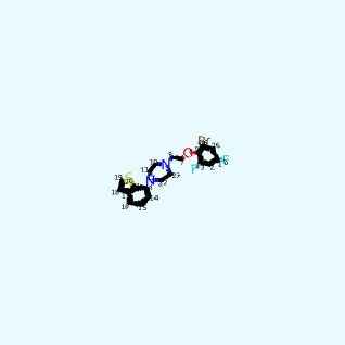 Fc1cc(F)c(OCCN2CCN(c3cccc4ccsc34)CC2)c(Br)c1